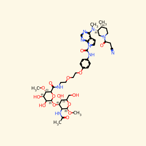 CO[C@@H]1OC(CO)[C@@H](O)[C@H](O[C@@H]2OC(C(=O)NCCOCCOc3ccc(NC(=O)n4ccc5c(N(C)[C@H]6CN(C(=O)CC#N)CC[C@H]6C)ncnc54)cc3)[C@@H](OC)[C@H](O)C2O)C1NC(C)=O